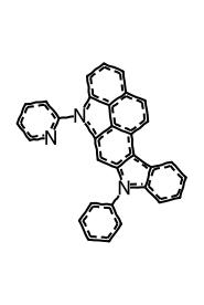 c1ccc(-n2c3ccccc3c3c4ccc5cccc6c5c4c(cc32)n6-c2ccccn2)cc1